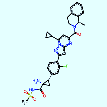 C[C@@H]1c2ccccc2CCN1C(=O)c1cc(C2CC2)n2nc(-c3ccc([C@@H]4C[C@@]4(N)C(=O)NS(=O)(=O)C(F)(F)F)cc3F)cc2n1